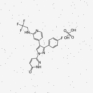 O=S(=O)(O)O.O=c1ccc(-n2cc(-c3ccnc(NCC(F)(F)F)c3)c(-c3ccc(F)cc3)n2)n[nH]1